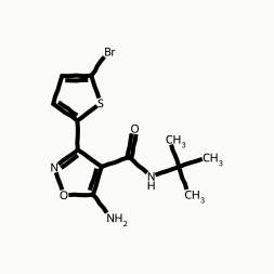 CC(C)(C)NC(=O)c1c(-c2ccc(Br)s2)noc1N